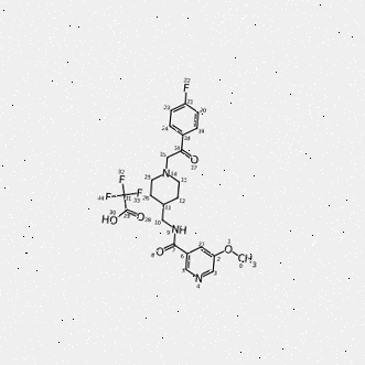 COc1cncc(C(=O)NCC2CCN(CC(=O)c3ccc(F)cc3)CC2)c1.O=C(O)C(F)(F)F